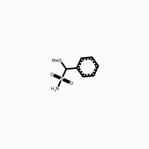 COC(c1ccccc1)S(N)(=O)=O